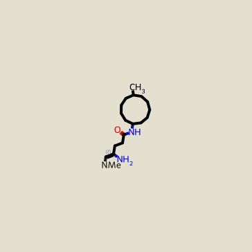 CN/C=C(\N)CCC(=O)NC1CCCCCC(C)CCCC1